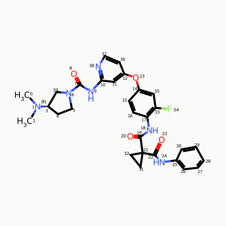 CN(C)[C@@H]1CCN(C(=O)Nc2cc(Oc3ccc(NC(=O)C4(C(=O)Nc5ccccc5)CC4)c(F)c3)ccn2)C1